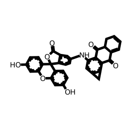 O=C1OC2(c3ccc(O)cc3Oc3cc(O)ccc32)c2ccc(Nc3cc4c(c5c3C(=O)C3CC=CC=C3C5=O)C4)cc21